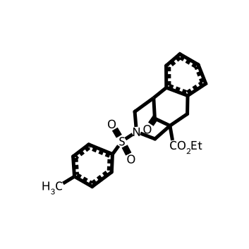 CCOC(=O)C12Cc3ccccc3C(CN(S(=O)(=O)c3ccc(C)cc3)C1)C2=O